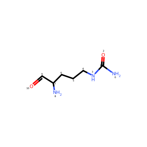 NC(=O)NCCCC(N)[C]=O